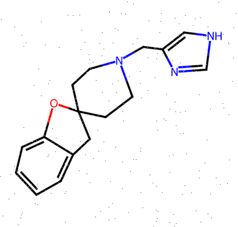 c1ccc2c(c1)CC1(CCN(Cc3c[nH]cn3)CC1)O2